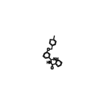 Cc1ccc(COc2cccc(C3NC(=O)c4ccccc4N3)c2)cc1